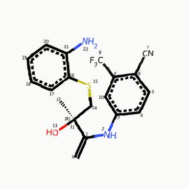 C=C(Nc1ccc(C#N)c(C(F)(F)F)c1)[C@@](C)(O)CSc1ccccc1N